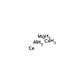 [AlH3].[CaH2].[Ce].[MgH2]